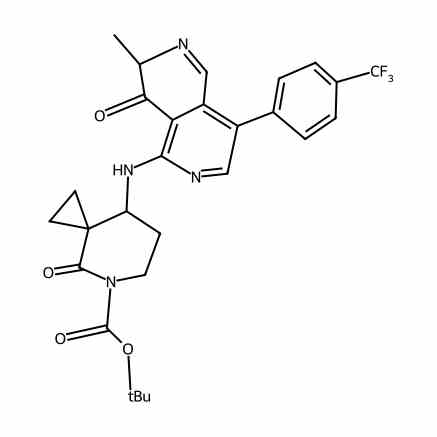 CC1N=Cc2c(-c3ccc(C(F)(F)F)cc3)cnc(NC3CCN(C(=O)OC(C)(C)C)C(=O)C34CC4)c2C1=O